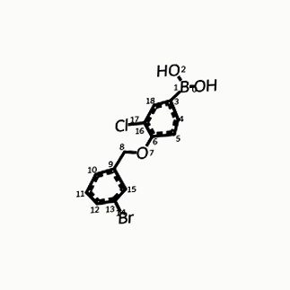 OB(O)c1ccc(OCc2cccc(Br)c2)c(Cl)c1